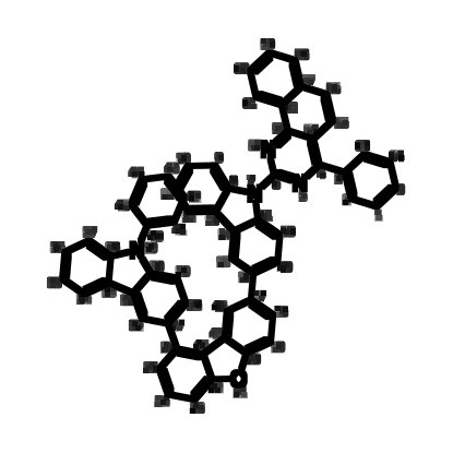 c1ccc(-c2nc(-n3c4ccccc4c4cc(-c5ccc6oc7cccc(-c8ccc9c(c8)c8ccccc8n9-c8ccccc8)c7c6c5)ccc43)nc3c2ccc2ccccc23)cc1